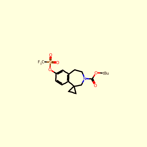 CC(C)(C)OC(=O)N1CCc2cc(OS(=O)(=O)C(F)(F)F)ccc2C2(CC2)C1